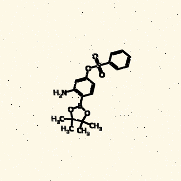 CC1(C)OB(c2ccc(OS(=O)(=O)c3ccccc3)cc2N)OC1(C)C